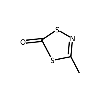 Cc1nsc(=O)s1